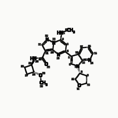 CNc1cc(-c2cn([C@@H]3CCOC3)c3ncccc23)nc2c(C(=O)N[C@@H]3CC[C@H]3OC)cnn12